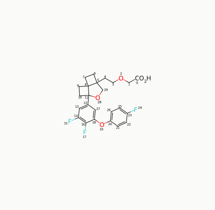 O=C(O)COCCC12CCC13CCC3(c1cc(F)c(F)c(Oc3ccc(F)cc3)c1)OC2